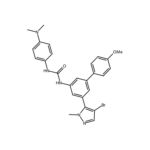 COc1ccc(-c2cc(NC(=O)Nc3ccc(N(C)C)cc3)cc(-c3c(Br)cnn3C)c2)cc1